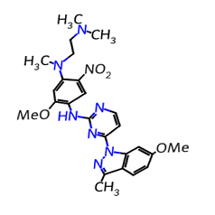 COc1ccc2c(C)nn(-c3ccnc(Nc4cc([N+](=O)[O-])c(N(C)CCN(C)C)cc4OC)n3)c2c1